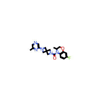 Cc1cncc(N2CC3(CN(C(=O)N4c5ccc(F)cc5OCC4C)C3)C2)n1